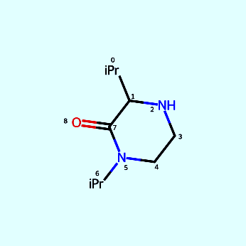 CC(C)C1NCCN(C(C)C)C1=O